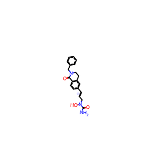 NC(=O)N(O)C/C=C/c1ccc2c(c1)CCN(Cc1ccccc1)C2=O